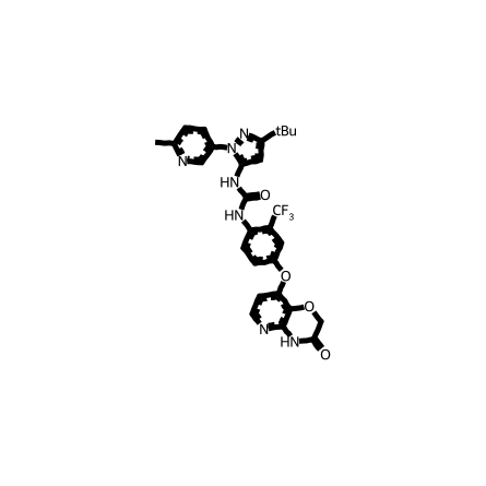 Cc1ccc(-n2nc(C(C)(C)C)cc2NC(=O)Nc2ccc(Oc3ccnc4c3OCC(=O)N4)cc2C(F)(F)F)cn1